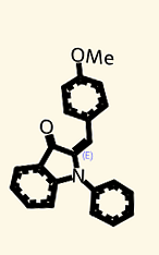 COc1ccc(/C=C2\C(=O)c3ccccc3N2c2ccccc2)cc1